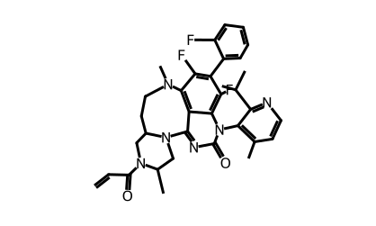 C=CC(=O)N1CC2CCN(C)c3c(F)c(-c4ccccc4F)c(F)c4c3c(nc(=O)n4-c3c(C)ccnc3C(C)C)N2CC1C